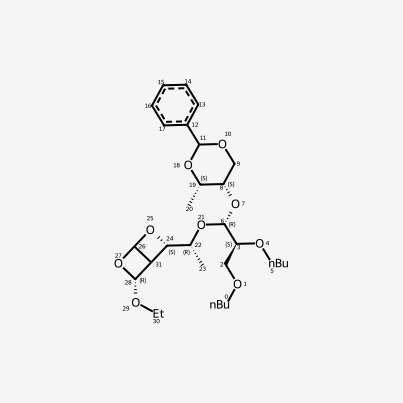 CCCCOC[C@H](OCCCC)[C@@H](O[C@H]1COC(c2ccccc2)O[C@H]1C)O[C@H](C)[C@H]1OC2O[C@@H](OCC)C21